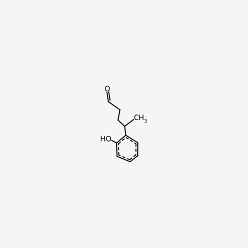 CC(CCC=O)c1ccccc1O